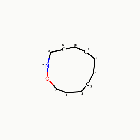 C1CCCCCO[N]CCCC1